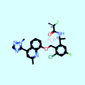 B[C@@](C)(NC(=O)[C@@H](C)F)c1cc(F)cc(Cl)c1COc1cccc2c(-c3ncnn3C)cc(C)nc12